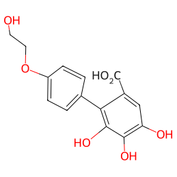 O=C(O)c1cc(O)c(O)c(O)c1-c1ccc(OCCO)cc1